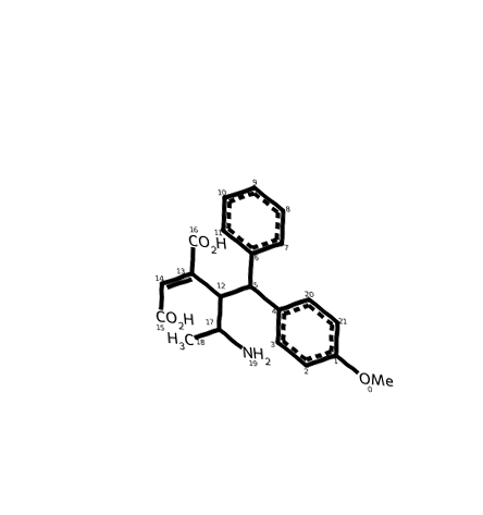 COc1ccc(C(c2ccccc2)C(/C(=C\C(=O)O)C(=O)O)C(C)N)cc1